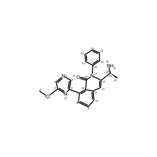 COc1cncc(-c2cccc3cc([C@H](C)N)n(-c4ccccc4)c(=O)c23)n1